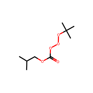 CC(C)COC(=O)OOOC(C)(C)C